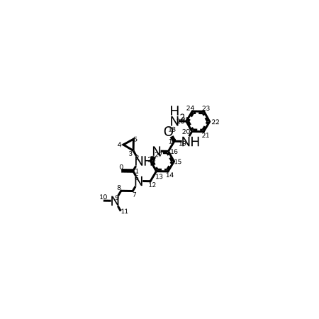 C=C(NC1CC1)N(CCN(C)C)Cc1ccc(C(=O)Nc2ccccc2N)nc1